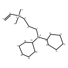 C=C[Si](C)(C)CCCN(C1CCCCC1)C1CCCCC1